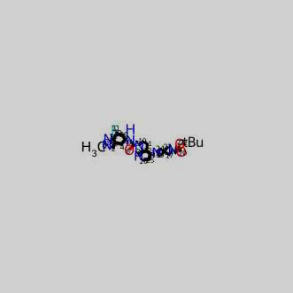 Cn1cc2cc(NC(=O)N3CCc4c(N5CC6(CN(C(=O)OC(C)(C)C)C6)C5)ccnc43)cc(F)c2n1